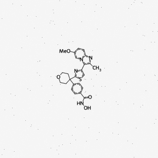 COc1ccc2nc(C)c(-c3csc(C4(c5ccc(C(=O)NO)cc5)CCOCC4)n3)n2c1